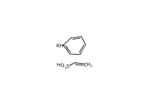 C=CS(=O)(=O)O.[KH].c1ccccc1